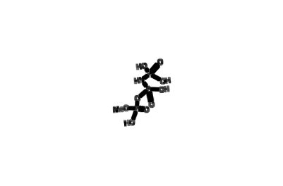 COP(=O)(O)OP(=O)(O)NP(=O)(O)O